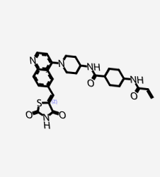 C=CC(=O)NC1CCC(C(=O)NC2CCN(c3ccnc4ccc(/C=C5\SC(=O)NC5=O)cc34)CC2)CC1